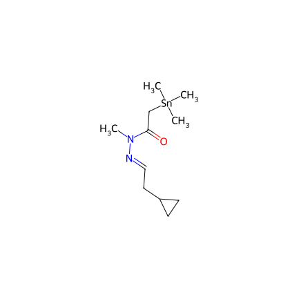 CN(N=CCC1CC1)C(=O)[CH2][Sn]([CH3])([CH3])[CH3]